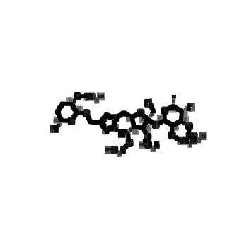 CC[C@@H]1CC[C@H](OS(=O)(=O)O)[C@@H](OCc2cn(C[C@H]3O[C@@](CCl)(O[C@H]4O[C@H](C)[C@H](Cl)[C@H](OS(=O)(=O)O)[C@H]4OS(=O)(=O)O)[C@@H](OS(=O)(=O)O)[C@@H]3NOS(=O)(=O)O)nn2)O1